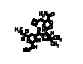 C=CS(=O)(=O)NC[C@H](NC(=O)NC(C)(C)C)C(=O)N1CC2[C@@H]([C@H]1C(=O)NC(CC1CCC1)C(=O)C(N)=O)C2(C)C